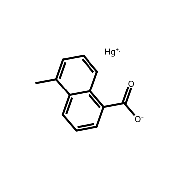 Cc1cccc2c(C(=O)[O-])cccc12.[Hg+]